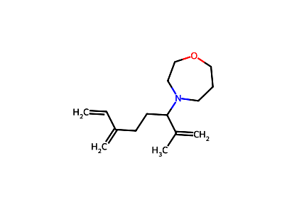 C=CC(=C)CCC(C(=C)C)N1CCCOCC1